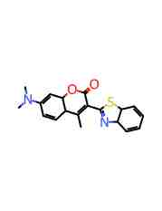 CC1=C(C2=NC3C=CC=CC3S2)C(=O)OC2C=C(N(C)C)C=CC12